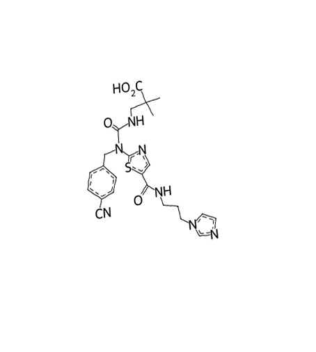 CC(C)(CNC(=O)N(Cc1ccc(C#N)cc1)c1ncc(C(=O)NCCCn2ccnc2)s1)C(=O)O